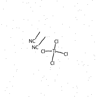 CC#N.CC#N.[Cl][Ti]([Cl])([Cl])[Cl]